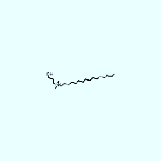 CCCCCCCCCCCCCCCC[N+](C)(C)CCCO